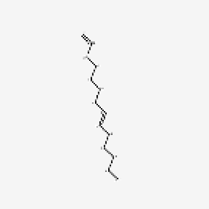 [CH2]CCCCC=CCCCCCC=C